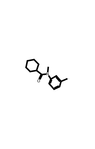 [CH2]c1cccc(N(C)C(=O)C2CCCCC2)c1